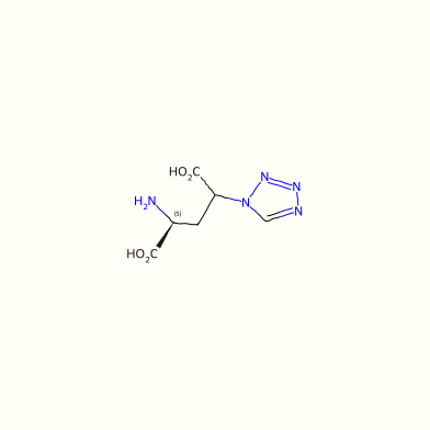 N[C@@H](CC(C(=O)O)n1cnnn1)C(=O)O